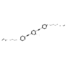 C=COOCCCCOc1ccc(C#Cc2ccc(C#Cc3ccc(OCCCCOC(=O)C=C)cc3)cc2C(F)(F)F)cc1